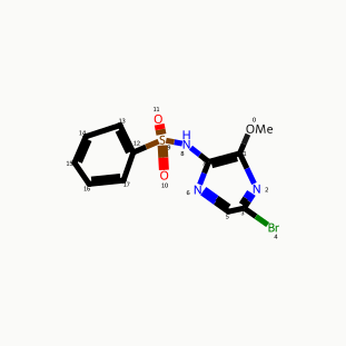 COc1nc(Br)cnc1NS(=O)(=O)c1ccccc1